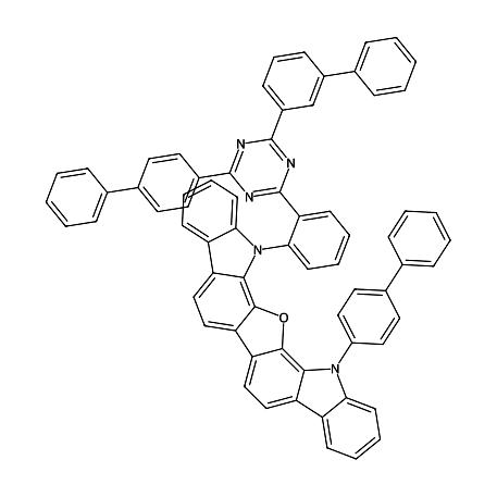 c1ccc(-c2ccc(-c3nc(-c4cccc(-c5ccccc5)c4)nc(-c4ccccc4-n4c5ccccc5c5ccc6c7ccc8c9ccccc9n(-c9ccc(-c%10ccccc%10)cc9)c8c7oc6c54)n3)cc2)cc1